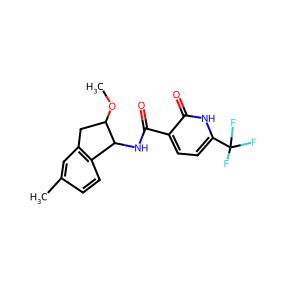 COC1Cc2cc(C)ccc2C1NC(=O)c1ccc(C(F)(F)F)[nH]c1=O